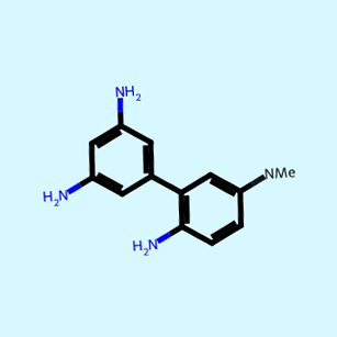 CNc1ccc(N)c(-c2cc(N)cc(N)c2)c1